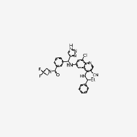 CCC(Nc1c(C#N)cnc2c(Cl)cc(NC(c3cccc(C(=O)N4CC(F)(F)C4)c3)c3c[nH]nn3)cc12)c1ccccc1